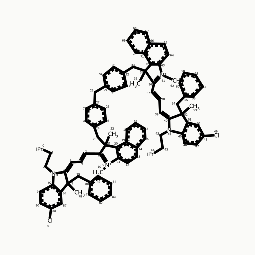 CC(C)CCN1/C(=C/C=C/C2=[N+](C)c3ccc4ccccc4c3C2(C)Cc2ccc(Cc3ccc(CC4(C)C(/C=C/C=C5/N(CCC(C)C)c6ccc(Cl)cc6C5(C)Cc5ccccc5)=[N+](C)c5ccc6ccccc6c54)cc3)cc2)C(C)(Cc2ccccc2)c2cc(Cl)ccc21